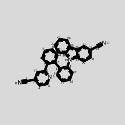 N#Cc1ccnc(-c2ccccc2-c2ccccc2-n2c3ccccc3c3cc(C#N)ccc32)c1